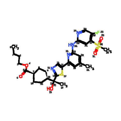 CCCCOC(=O)[C@H]1CC[C@H]([C@@](C)(O)c2ncc(-c3cc(C)cc(Nc4cc(S(C)(=O)=O)c(F)cn4)n3)s2)CC1